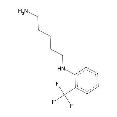 NCCCCCNc1ccccc1C(F)(F)F